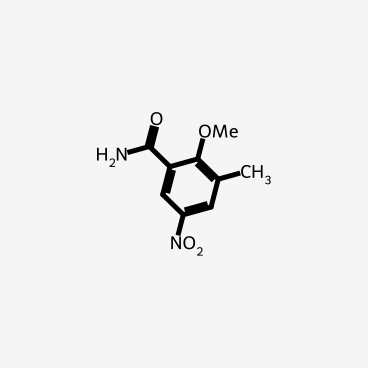 COc1c(C)cc([N+](=O)[O-])cc1C(N)=O